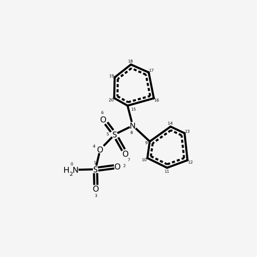 NS(=O)(=O)OS(=O)(=O)N(c1ccccc1)c1ccccc1